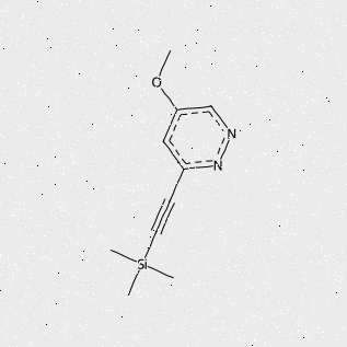 COc1cnnc(C#C[Si](C)(C)C)c1